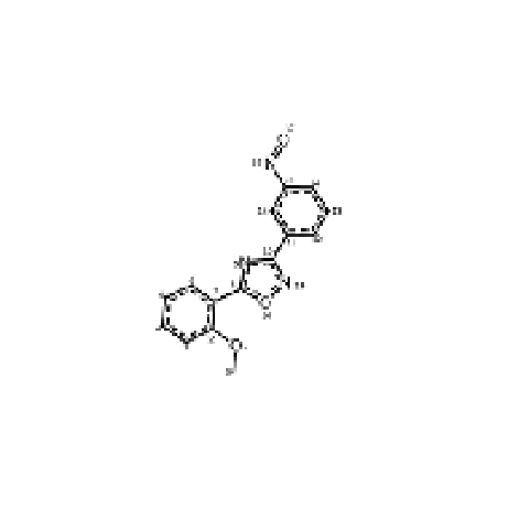 COc1ccccc1-c1nc(-c2cccc(N=O)c2)no1